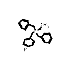 CC[P+](Cc1ccccc1)(Cc1ccccc1)Cc1ccccc1.[F-]